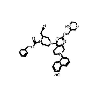 Cl.N#CCC1CN(c2nc(OCC3COCCN3)nc3c2CCN(c2cccc4ccccc24)C3)CCN1C(=O)OCc1ccccc1